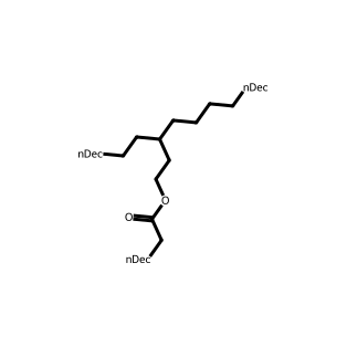 CCCCCCCCCCCCCCC(CCCCCCCCCCCC)CCOC(=O)CCCCCCCCCCC